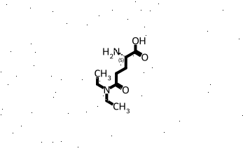 CCN(CC)C(=O)CC[C@H](N)C(=O)O